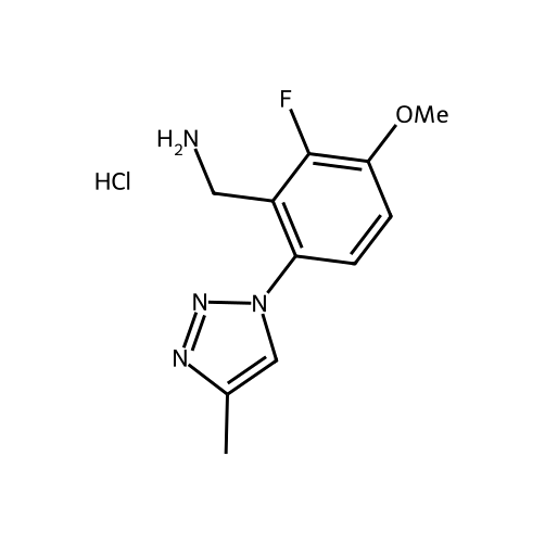 COc1ccc(-n2cc(C)nn2)c(CN)c1F.Cl